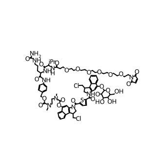 CC(C)C(NC(=O)CCOCCOCCOCCOCCOCCOCCN1C(=O)C=CC1=O)C(=O)NC(CCCNC(N)=O)C(=O)Nc1ccc(COC(=O)N(C)CCN(C)C(=O)Oc2cc3c(c4ccccc24)C(CCl)CN3C(=O)c2ccc(C(=O)N3CC(CCl)c4c3cc(OC3OC(CO)C(O)C(O)C3O)c3ccccc43)s2)cc1